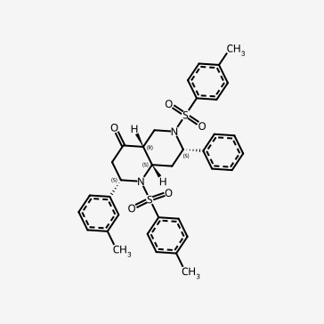 Cc1ccc(S(=O)(=O)N2C[C@H]3C(=O)C[C@@H](c4cccc(C)c4)N(S(=O)(=O)c4ccc(C)cc4)[C@H]3C[C@H]2c2ccccc2)cc1